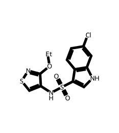 CCOc1nscc1NS(=O)(=O)c1c[nH]c2cc(Cl)ccc12